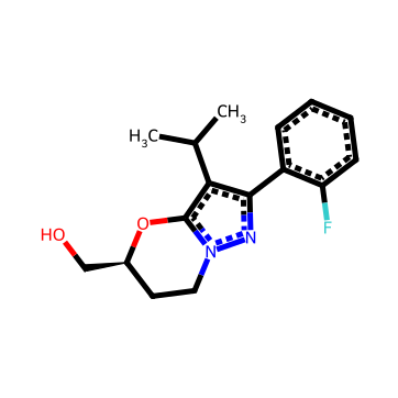 CC(C)c1c(-c2ccccc2F)nn2c1O[C@H](CO)CC2